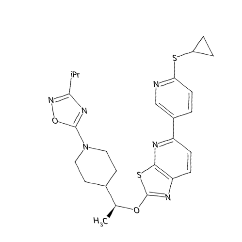 CC(C)c1noc(N2CCC([C@H](C)Oc3nc4ccc(-c5ccc(SC6CC6)nc5)nc4s3)CC2)n1